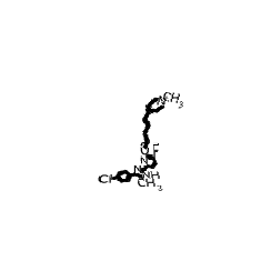 Cc1[nH]c(-c2ccc(F)c(OCCCCC3CCN(C)CC3)n2)nc1-c1ccc(Cl)cc1